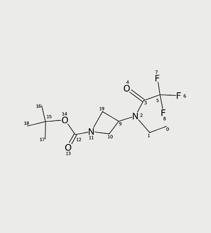 CCN(C(=O)C(F)(F)F)C1CN(C(=O)OC(C)(C)C)C1